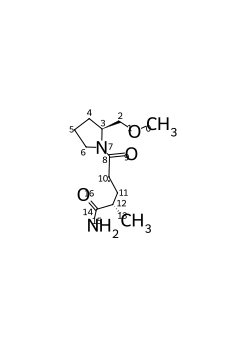 COC[C@@H]1CCCN1C(=O)[CH]C[C@H](C)C(N)=O